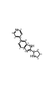 c1cc(-c2ccc3nc(C4CCCN4)[nH]c3c2)ccn1